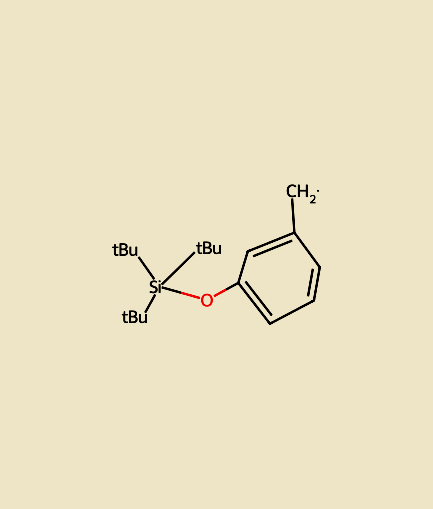 [CH2]c1cccc(O[Si](C(C)(C)C)(C(C)(C)C)C(C)(C)C)c1